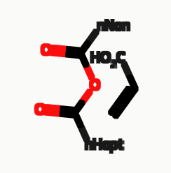 C=CC(=O)O.CCCCCCCCCC(=O)OC(=O)CCCCCCC